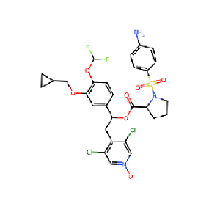 Nc1ccc(S(=O)(=O)N2CCCC2C(=O)OC(Cc2c(Cl)c[n+]([O-])cc2Cl)c2ccc(OC(F)F)c(OCC3CC3)c2)cc1